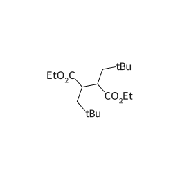 CCOC(=O)C(CC(C)(C)C)C(CC(C)(C)C)C(=O)OCC